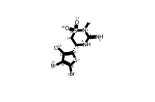 CN1C(=N)N[C@H](c2sc(Br)c(Br)c2Cl)CS1(=O)=O